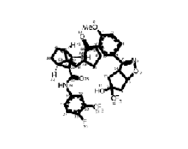 COc1ccc(C2=NOC3CC(O)(C(F)(F)F)CC23)cc1C(=O)N[C@H]1[C@@H](C(=O)Nc2ccc(F)c(C(F)(F)F)c2)[C@H]2CC[C@@H]1/C2=C\C1CCCC1